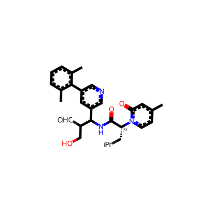 Cc1ccn([C@H](CC(C)C)C(=O)NC(c2cncc(-c3c(C)cccc3C)c2)C(C=O)CO)c(=O)c1